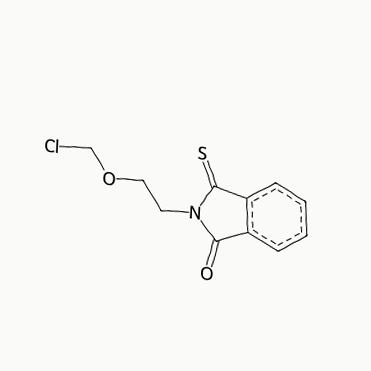 O=C1c2ccccc2C(=S)N1CCOCCl